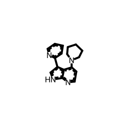 c1ccc(-c2c[nH]c3nccc(N4CCCCC4)c23)nc1